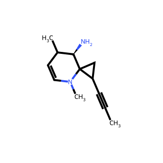 CC#CC1CC12[C@H](N)C(C)C=CN2C